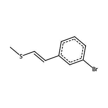 CSC=Cc1cccc(Br)c1